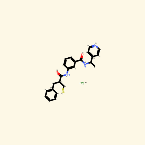 CC(NC(=O)c1cccc(NC(=O)C(CS)Cc2ccccc2)c1)c1ccncc1.Cl